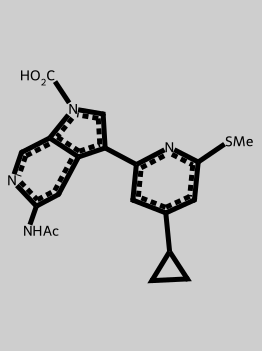 CSc1cc(C2CC2)cc(-c2cn(C(=O)O)c3cnc(NC(C)=O)cc23)n1